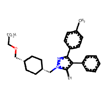 CCc1c(-c2ccccc2)c(-c2ccc(C)cc2)nn1C[C@H]1CC[C@@H](COCC(=O)O)CC1